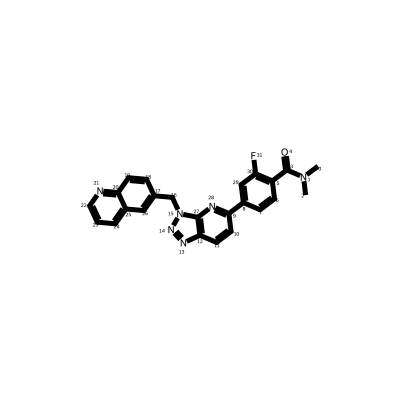 CN(C)C(=O)c1ccc(-c2ccc3nnn(Cc4ccc5ncccc5c4)c3n2)cc1F